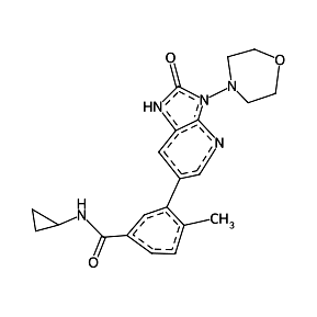 Cc1ccc(C(=O)NC2CC2)cc1-c1cnc2c(c1)[nH]c(=O)n2N1CCOCC1